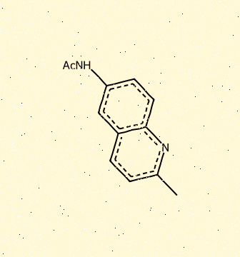 CC(=O)Nc1ccc2nc(C)ccc2c1